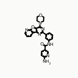 Nc1ccc(C(=O)Nc2cccc(-c3nc(N4CCOCC4)c4oc5ncccc5c4n3)c2)cn1